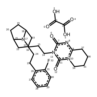 O=C(O)C(=O)O.O=c1nc2n(c(=O)n1CCCN1C3CCC1CC(CCc1ccccc1F)C3)CCCC2